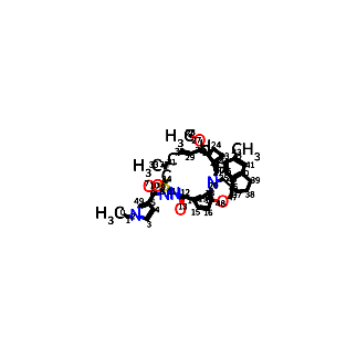 CCn1ccc(C(=O)N[S@@]2(=O)=NC(=O)c3ccc4c(c3)N(C[C@@H]3CC[C@H]3[C@@H](OC)/C=C/C[C@H](C)C2)C[C@@]2(CCCc3cc(C)ccc32)CO4)c1